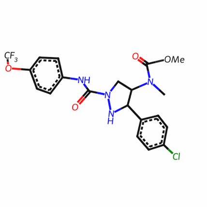 COC(=O)N(C)C1CN(C(=O)Nc2ccc(OC(F)(F)F)cc2)NC1c1ccc(Cl)cc1